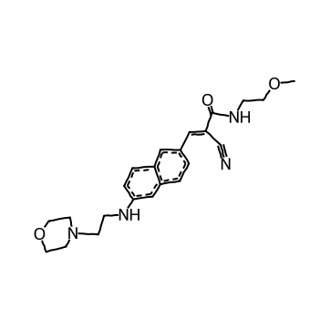 COCCNC(=O)/C(C#N)=C/c1ccc2cc(NCCN3CCOCC3)ccc2c1